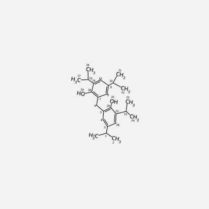 CC(C)c1cc(Cc2cc(C(C)C)cc(C(C)C)c2O)c(O)c(C(C)C)c1